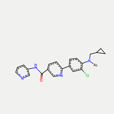 CC(=O)N(CC1CC1)c1ccc(-c2ccc(C(=O)Nc3cccnc3)cn2)cc1Cl